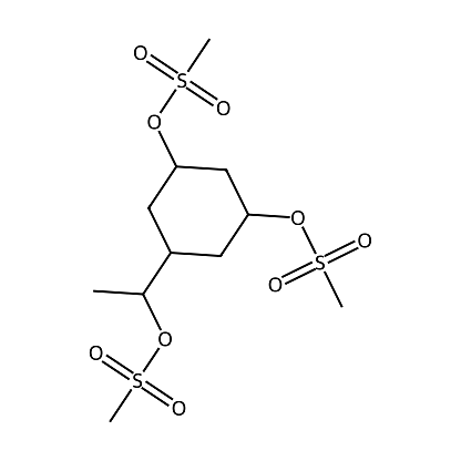 CC(OS(C)(=O)=O)C1CC(OS(C)(=O)=O)CC(OS(C)(=O)=O)C1